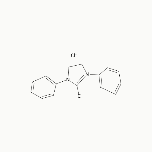 ClC1=[N+](c2ccccc2)CCN1c1ccccc1.[Cl-]